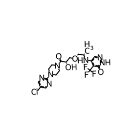 C[C@@H](COC[C@H](O)C(=O)N1CCN(c2ncc(Cl)cn2)CC1)Nc1cn[nH]c(=O)c1C(F)(F)F